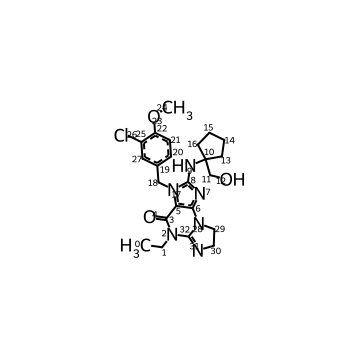 CCN1C(=O)c2c(nc(NC3(CO)CCCC3)n2Cc2ccc(OC)c(Cl)c2)N2CCN=C12